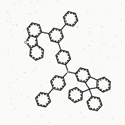 c1ccc(-c2ccc(N(c3ccc(-c4cc(-c5ccccc5)cc(-c5cccc6oc7ccccc7c56)c4)cc3)c3ccc4c(c3)C(c3ccccc3)(c3ccccc3)c3ccccc3-4)cc2)cc1